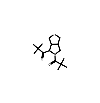 CC(C)(C)C(=O)C1C2CSCC2CN1C(=O)C(C)(C)C